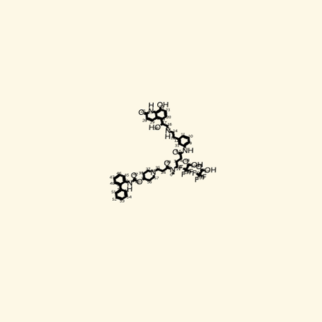 CN(CCCC(=O)Nc1cccc(CCNCC(O)c2ccc(O)c3[nH]c(=O)ccc23)c1)C(=O)CCN1CCC(OC(=O)Nc2ccccc2-c2ccccc2)CC1.O=C(O)C(F)(F)F.O=C(O)C(F)(F)F